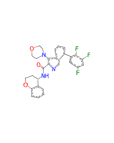 O=C(NC1CCOc2ccccc21)c1ncc2c(-c3cc(F)cc(F)c3F)cccc2c1N1CCOCC1